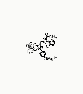 NC(=O)c1nc(Cn2nc(-c3ccc(Cl)cc3)n(C[C@H](OP(=O)([O-])[O-])C(F)(F)F)c2=O)nn1-c1ncccc1Cl.[Mg+2]